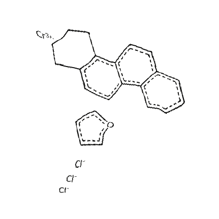 [Cl-].[Cl-].[Cl-].[Cr+3].c1ccc2c(c1)ccc1c3c(ccc12)CCCC3.c1ccoc1